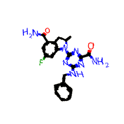 CC1Cc2c(C(N)=O)cc(F)cc2N1c1nc(NCc2ccccc2)nc(C(N)=O)n1